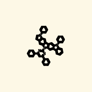 c1ccc(-c2cc(-c3ccccc3)nc(-n3c4cc5ccn(-c6ccccc6)c5cc4c4cc5c(cc43)c3ccccc3n5-c3ccccc3)n2)cc1